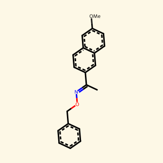 COc1ccc2cc(/C(C)=N/OCc3ccccc3)ccc2c1